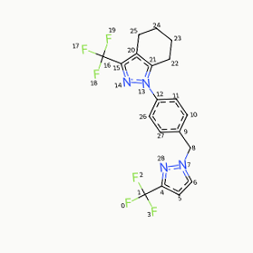 FC(F)(F)c1ccn(Cc2ccc(-n3nc(C(F)(F)F)c4c3CCCC4)cc2)n1